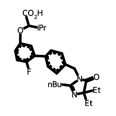 CCCCC1=NC(CC)(CC)C(=O)N1Cc1ccc(-c2cc(OC(C(=O)O)C(C)C)ccc2F)cc1